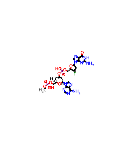 COP(=O)(O)OCCO[C@H](C[C@@H](C)OP(=O)(O)OC[C@H]1O[C@@H](n2cnc3c(=O)[nH]c(N)nc32)C[C@@H]1F)n1cnc2c(N)ncnc21